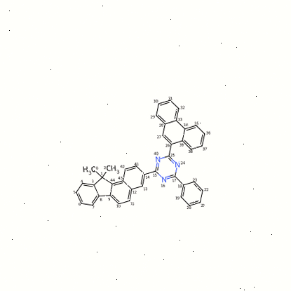 CC1(C)c2ccccc2-c2ccc3cc(-c4nc(-c5ccccc5)nc(-c5cc6ccccc6c6ccccc56)n4)ccc3c21